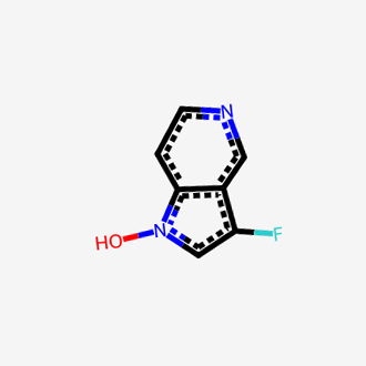 On1cc(F)c2cnccc21